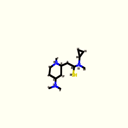 CN(C)C1CCN(C)C(CC(S)N(C)C2CC2)C1